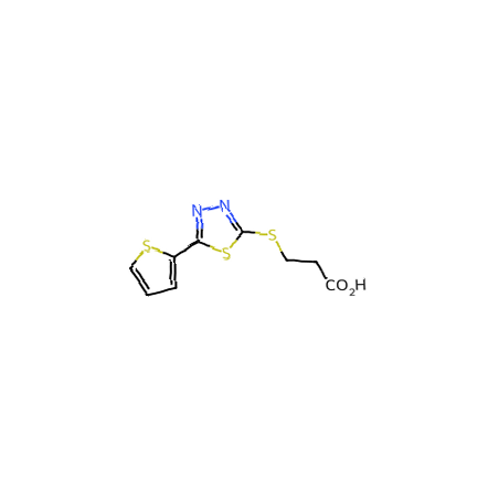 O=C(O)CCSc1nnc(-c2cccs2)s1